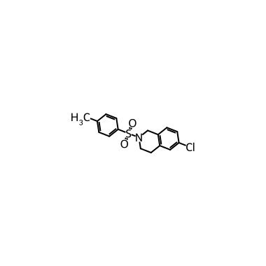 Cc1ccc(S(=O)(=O)N2CCc3cc(Cl)ccc3C2)cc1